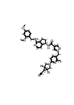 COc1ccc(CNc2nccc3c2CC[C@H]3NC(=O)c2cnn(Cc3ccc(N4C[C@@H]5C(C#N)[C@@H]5C4)nc3C)c2)c(OC)c1